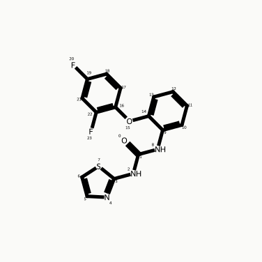 O=C(Nc1nccs1)Nc1ccccc1Oc1ccc(F)cc1F